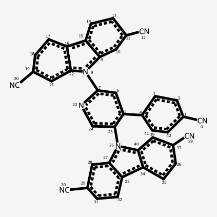 N#Cc1ccc(-c2cc(-n3c4cc(C#N)ccc4c4ccc(C#N)cc43)ncc2-n2c3cc(C#N)ccc3c3ccc(C#N)cc32)cc1